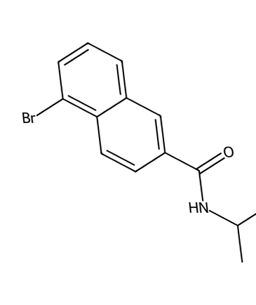 CC(C)NC(=O)c1ccc2c(Br)cccc2c1